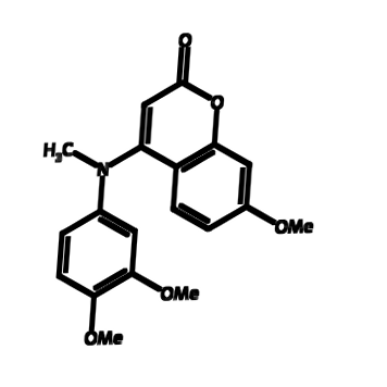 COc1ccc2c(N(C)c3ccc(OC)c(OC)c3)cc(=O)oc2c1